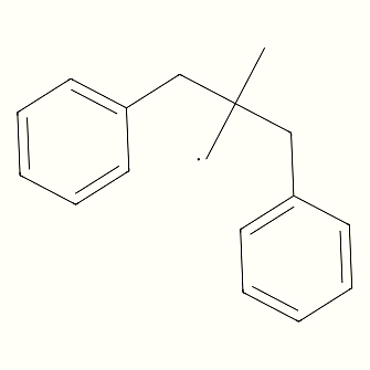 [CH2]C(C)(Cc1ccccc1)Cc1ccccc1